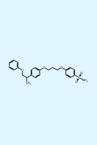 CC(COc1ccccc1)c1ccc(OCCCOc2ccc(S(N)(=O)=O)cc2)cc1